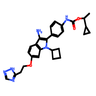 CC(OC(=O)Nc1ccc(-c2c(N)c3ccc(OCCc4ncn[nH]4)cc3n2C2CCC2)cc1)C1CC1